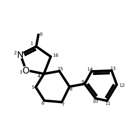 CC1=NOC2(CCCC(c3ccccc3)C2)C1